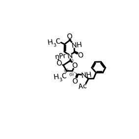 CCCOC1[C@@H](C)[C@@H](C(=O)NC(Cc2ccccc2)C(C)=O)O[C@@H]1n1cc(C)c(=O)[nH]c1=O